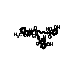 Cc1cccc(C2=NC(C(=O)N(CCCCNC(=O)c3cccc(O)c3O)CCCNC(=O)c3cccc(O)c3O)C(C)O2)c1O